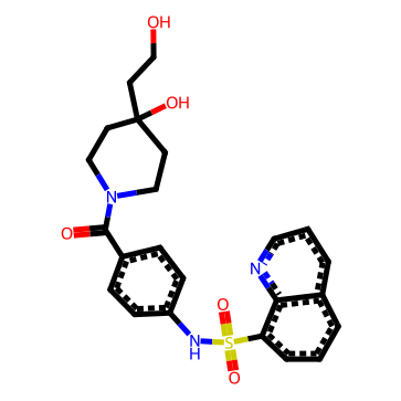 O=C(c1ccc(NS(=O)(=O)c2cccc3cccnc23)cc1)N1CCC(O)(CCO)CC1